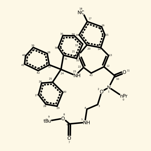 CCCN(OCCNC(=O)OC(C)(C)C)C(=O)C1=Cc2ccc(C#N)cc2N=C(NC(c2ccccc2)(c2ccccc2)c2ccccc2)C1